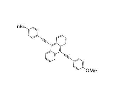 CCCCc1ccc(C#Cc2c3ccccc3c(C#Cc3ccc(OC)cc3)c3ccccc23)cc1